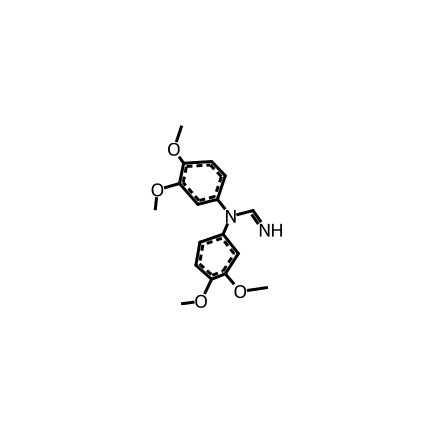 COc1ccc(N(C=N)c2ccc(OC)c(OC)c2)cc1OC